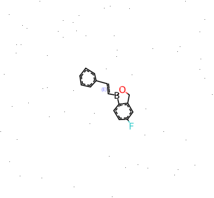 Fc1ccc2c(c1)COB2/C=C/c1ccccc1